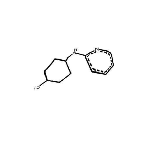 OC1CCC(Nc2ccccn2)CC1